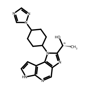 C[C@@H](O)c1nc2cnc3[nH]ccc3c2n1C1CCC(n2cncn2)CC1